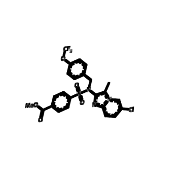 COC(=O)c1ccc(S(=O)(=O)N(Cc2ccc(OC(F)(F)F)cc2)c2nc3ccc(Cl)cn3c2C)cc1